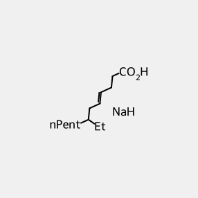 CCCCCC(CC)CC=CCCC(=O)O.[NaH]